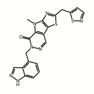 Cn1c2nc(Cc3ccns3)sc2c2cnn(Cc3cccc4[nH]ncc34)c(=O)c21